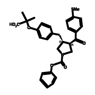 CSc1ccc(C(=O)[C@H]2CN(C(=O)Oc3ccccc3)C[C@@H]2Cc2ccc(OC(C)(C)C(=O)O)cc2)cc1